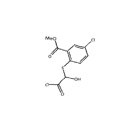 COC(=O)c1cc(Cl)ccc1SC(O)C(=O)Cl